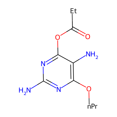 CCCOc1nc(N)nc(OC(=O)CC)c1N